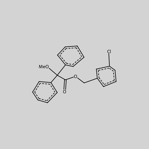 COC(C(=O)OCc1cccc(Cl)c1)(c1ccccc1)c1ccccc1